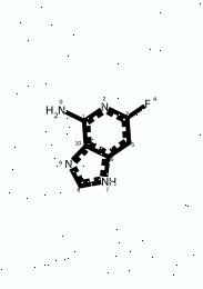 Nc1nc(F)cc2[nH]cnc12